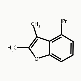 Cc1oc2cccc(C(C)C)c2c1C